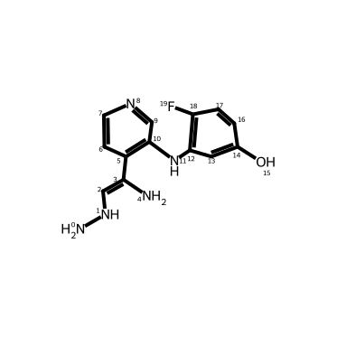 NN/C=C(\N)c1ccncc1Nc1cc(O)ccc1F